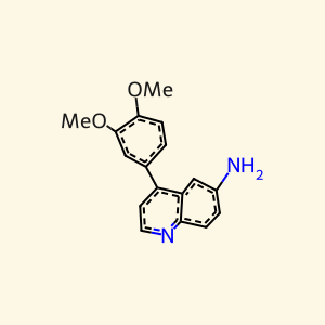 COc1ccc(-c2ccnc3ccc(N)cc23)cc1OC